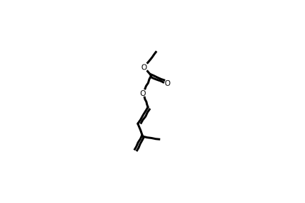 C=C(C)C=COC(=O)OC